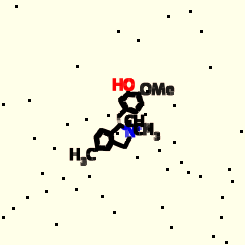 COc1ccc(C[C@H]2c3ccc(C)cc3CC[N+]2(C)C)cc1O